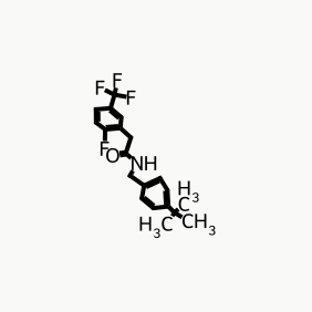 CC(C)(C)c1ccc(CNC(=O)Cc2cc(C(F)(F)F)ccc2F)cc1